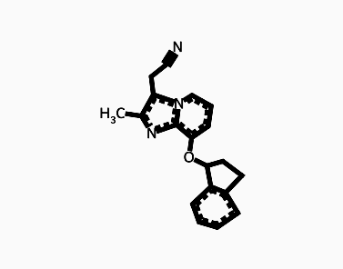 Cc1nc2c(OC3CCc4ccccc43)cccn2c1CC#N